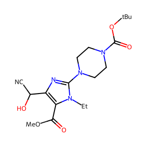 CCn1c(N2CCN(C(=O)OC(C)(C)C)CC2)nc(C(O)C#N)c1C(=O)OC